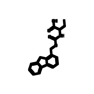 CCC(NC(=O)OCc1cccc2c1Cc1ccccc1-2)C(=O)O